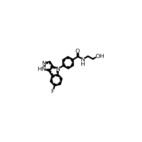 O=C(NCCO)c1ccc(-n2c3ccc(F)cc3c3[nH]ncc32)cc1